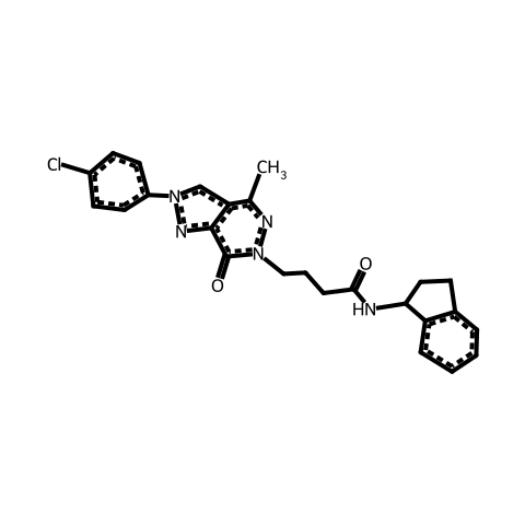 Cc1nn(CCCC(=O)NC2CCc3ccccc32)c(=O)c2nn(-c3ccc(Cl)cc3)cc12